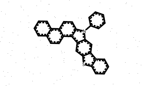 c1ccc(-n2c3cc4c(cc3c3c5ccc6ccccc6c5ccc32)sc2ccccc24)cc1